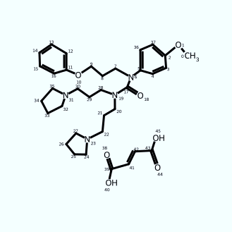 COc1ccc(N(CCCOc2ccccc2)C(=O)N(CCCN2CCCC2)CCCN2CCCC2)cc1.O=C(O)C=CC(=O)O